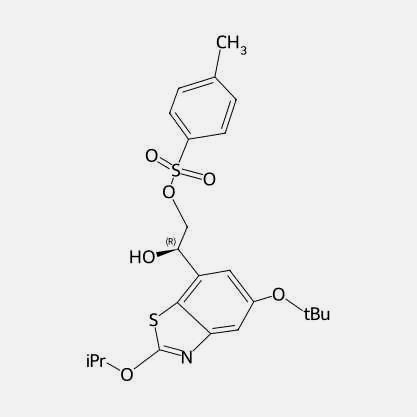 Cc1ccc(S(=O)(=O)OC[C@H](O)c2cc(OC(C)(C)C)cc3nc(OC(C)C)sc23)cc1